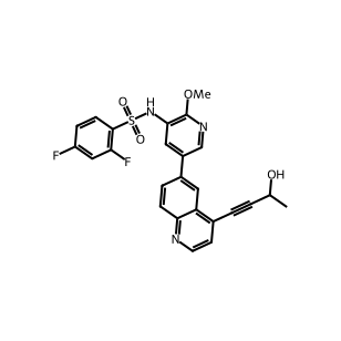 COc1ncc(-c2ccc3nccc(C#CC(C)O)c3c2)cc1NS(=O)(=O)c1ccc(F)cc1F